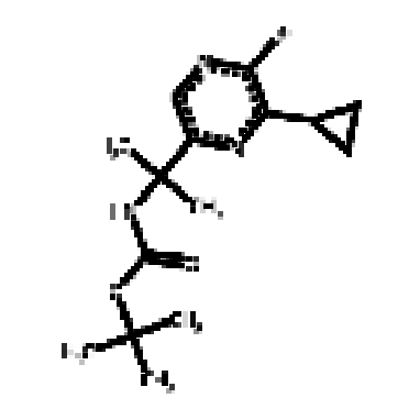 CC(C)(C)OC(=O)NC(C)(C)c1cnc(Br)c(C2CC2)n1